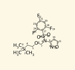 C[Si](C)(C)CCOCN(c1ccon1)S(=O)(=O)c1c(F)cc(F)cc1F